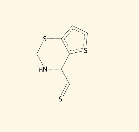 S=CC1NCSc2ccsc21